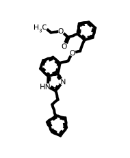 CCOC(=O)c1ccccc1COCc1cccc2[nH]c(CCc3ccccc3)nc12